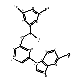 CC(Nc1cncc(-n2cnc3cc(C#N)ccc32)n1)c1cc(F)cc(F)c1